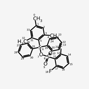 Cc1cc(C)c(S(OS(=O)(=O)c2c(F)cccc2F)(c2ccccc2)c2ccccc2)c(C)c1